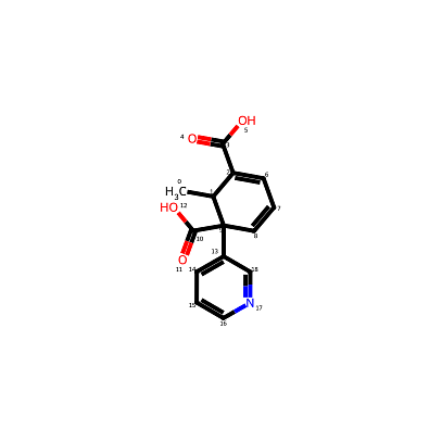 CC1C(C(=O)O)=CC=CC1(C(=O)O)c1cccnc1